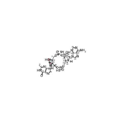 Cc1nc2c(ncn2[C@@H]2O[C@@H]3CO[P@](=O)(S)O[C@H]4[C@@H](O)[C@H](n5cnc6c(N)ncnc65)[C@H]5CC54COP(=O)(S)O[C@@H]2[C@@H]3CO)c(=O)[nH]1